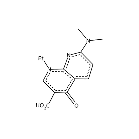 CCn1cc(C(=O)O)c(=O)c2ccc(N(C)C)nc21